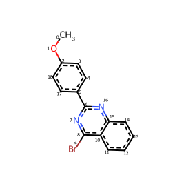 COc1ccc(-c2nc(Br)c3ccccc3n2)cc1